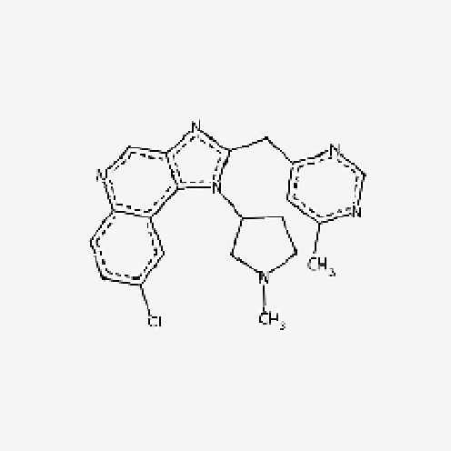 Cc1cc(Cc2nc3cnc4ccc(Cl)cc4c3n2C2CCN(C)C2)ncn1